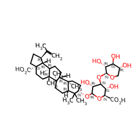 C=C(C)[C@@H]1CC[C@]2(C(=O)O)CC[C@]3(C)[C@H](CC[C@@H]4[C@@]5(C)CC[C@H](O[C@@H]6O[C@H](C(=O)O)[C@@H](O)[C@H](O[C@@H]7OC[C@@H](O)[C@H](O)[C@H]7O)[C@H]6O)C(C)(C)[C@@H]5CC[C@]43C)[C@@H]12